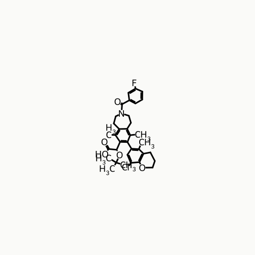 Cc1c(-c2c(C)c3c(c(C)c2[C@H](OC(C)(C)C)C(=O)O)CCN(C(=O)c2cccc(F)c2)CC3)cc(Cl)c2c1CCCO2